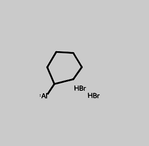 Br.Br.[Al][CH]1CCCCC1